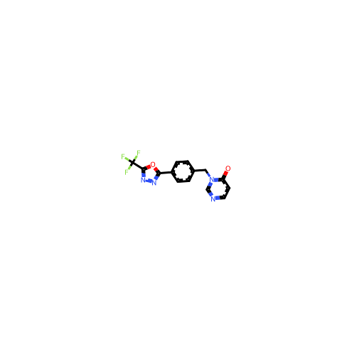 O=c1ccncn1Cc1ccc(-c2nnc(C(F)(F)F)o2)cc1